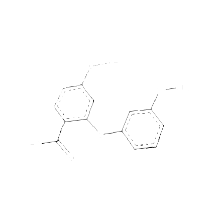 COc1cccc(Sc2cc(OC)ccc2C(=O)O)c1